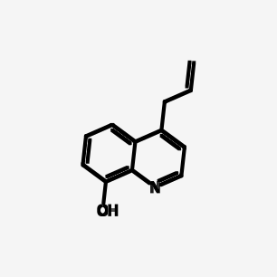 C=CCc1ccnc2c(O)cccc12